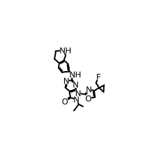 CC(C)n1c(=O)c2cnc(Nc3ccc4c(c3)CNCC4)nc2n1-c1nc(C2(CF)CC2)co1